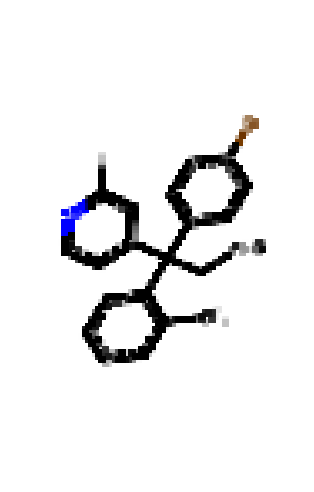 Cc1cc(C(CC=O)(c2ccc(Br)cc2)c2ccccc2C(F)(F)F)ccn1